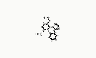 Cl.NCc1ccc(F)cc1-n1ncnc1-c1ccccc1